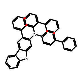 c1ccc(-c2ccc(N(c3ccccc3-c3ccccc3)c3cc4sc5ccccc5c4cc3-c3ccccc3)cc2)cc1